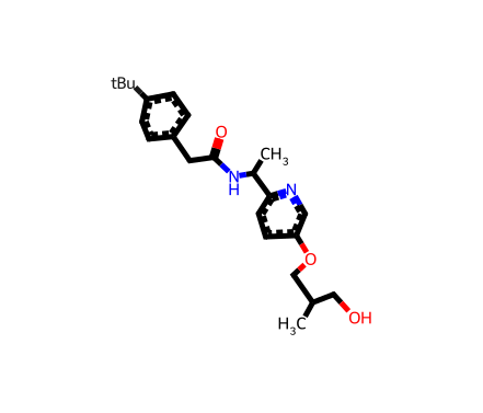 CC(CO)COc1ccc(C(C)NC(=O)Cc2ccc(C(C)(C)C)cc2)nc1